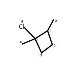 CC1CCC1(C)Cl